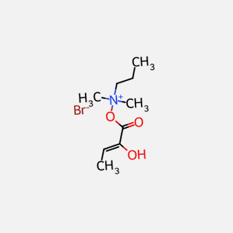 CC=C(O)C(=O)O[N+](C)(C)CCC.[Br-]